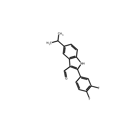 CC(C)c1ccc2[nH]c(-c3ccc(F)c(F)c3)c(C=O)c2c1